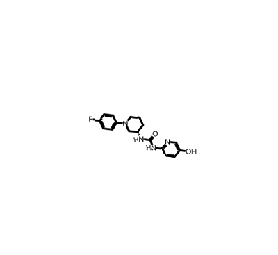 O=C(Nc1ccc(O)cn1)N[C@H]1CCCN(c2ccc(F)cc2)C1